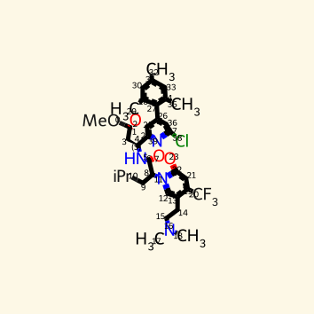 COC(=O)C[C@H](NC(=O)C(CC(C)C)n1cc(CCN(C)C)c(C(F)(F)F)cc1=O)c1cc(-c2c(C)cc(C)cc2C)cc(Cl)n1